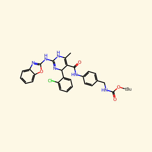 CC1=C(C(=O)Nc2ccc(CNC(=O)OC(C)(C)C)cc2)C(c2ccccc2Cl)N=C(Nc2nc3ccccc3o2)N1